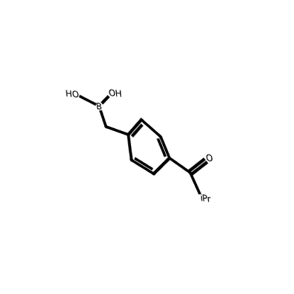 CC(C)C(=O)c1ccc(CB(O)O)cc1